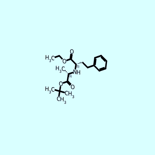 CCOC(=O)[C@H](CCc1ccccc1)N[C@@H](C)C(=O)OC(C)(C)C